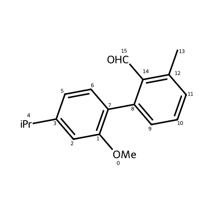 COc1cc(C(C)C)ccc1-c1cccc(C)c1C=O